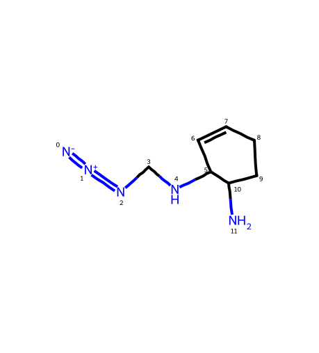 [N-]=[N+]=NCNC1C=CCCC1N